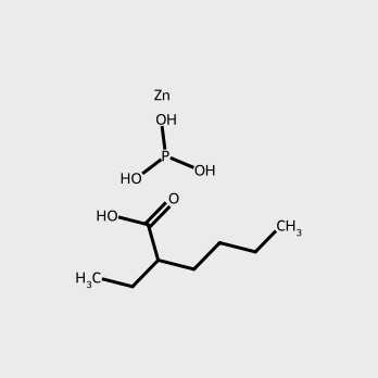 CCCCC(CC)C(=O)O.OP(O)O.[Zn]